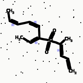 C=C/C=C(\C)S(=O)(=O)C(/C=C\C=C/C)=C/C